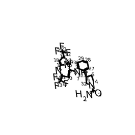 NC(=O)N1CC[C@](CNc2cc(C(F)(F)F)nc3cc(C(F)(F)F)nn23)(c2ccccc2)C1